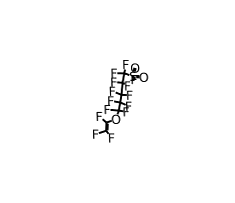 O=S(=O)(F)C(F)(F)C(F)(F)C(F)(F)C(F)(F)C(F)(F)OC(F)=C(F)F